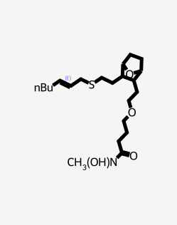 CCCC/C=C/CSCCC1C2CCC(O2)C1CCOCCCC(=O)N(C)O